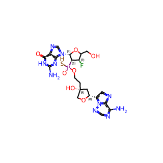 Nc1nc2c(ncn2[C@@H]2OC(CO)[C@@H](F)[C@H]2P(=O)(S)OCC[C@]2(O)CO[C@@H](c3cnc4c(N)ncnn34)C2)c(=O)[nH]1